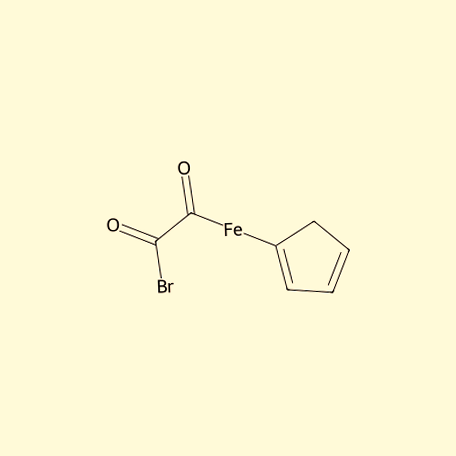 O=C(Br)[C](=O)[Fe][C]1=CC=CC1